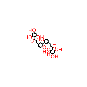 O=C(C=Cc1ccc(O)c(-c2cc(C=CC(=O)c3c(O)cc(O)cc3O)ccc2O)c1)c1c(O)cc(O)cc1O